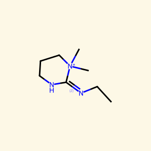 CC/N=C1/NCCC[N+]1(C)C